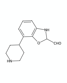 O=CC1Nc2cccc(C3CCNCC3)c2O1